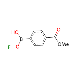 COC(=O)c1ccc(B(O)OF)cc1